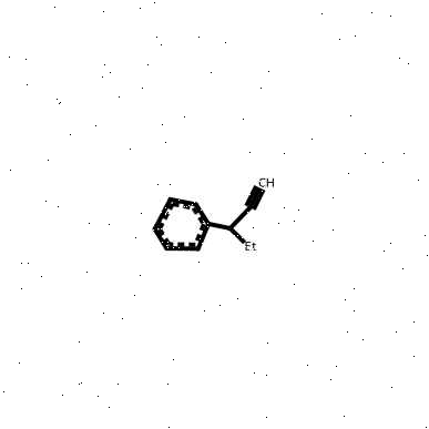 C#CC(C[CH2])c1ccccc1